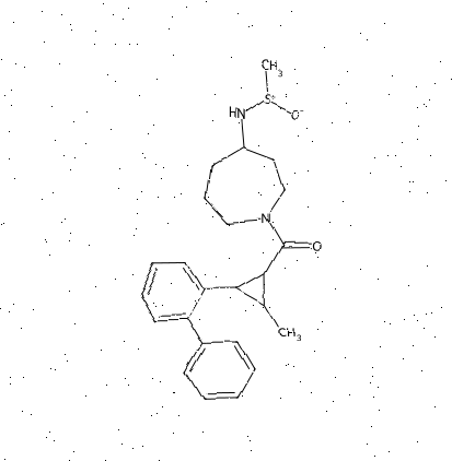 CC1C(C(=O)N2CCCC(N[S+](C)[O-])CC2)C1c1ccccc1-c1ccccc1